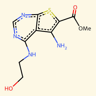 COC(=O)c1sc2ncnc(NCCO)c2c1N